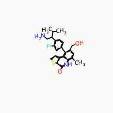 Cc1cc(CO)c(-c2ccc(C(CN)C(C)C)c(F)c2)c2c1[nH]c(=O)c1sccc12